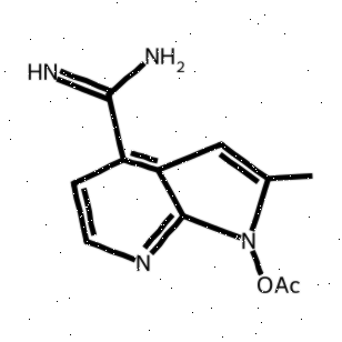 CC(=O)On1c(C)cc2c(C(=N)N)ccnc21